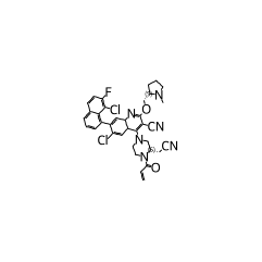 C=CC(=O)N1CCN(C2=C(C#N)C(OC[C@@H]3CCCN3C)=NC3C=C(c4cccc5ccc(F)c(Cl)c45)C(Cl)=CC23)C[C@@H]1CC#N